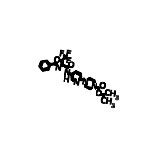 CC(C)OC(=O)N1CCN(c2ccc(NC(=O)c3nc(-c4ccccc4)oc3C(F)(F)F)cn2)CC1